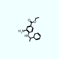 CCOC(=O)c1ccc(NC(C)C2C=CC=CC2)c(N)c1